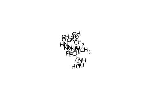 CCOP(=O)(O)Cc1ccc(Nc2ncc(C(F)(F)F)c(Nc3ccc(C4CC[C@H](C(=O)O)NC4)c4c3C(=O)N(C)C4)n2)c(OC)c1